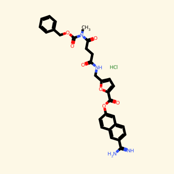 CN(C(=O)CCC(=O)NCc1ccc(C(=O)Oc2ccc3cc(C(=N)N)ccc3c2)o1)C(=O)OCc1ccccc1.Cl